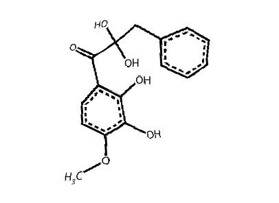 COc1ccc(C(=O)C(O)(O)Cc2ccccc2)c(O)c1O